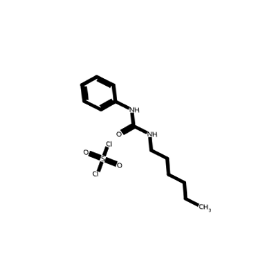 CCCCCCNC(=O)Nc1ccccc1.O=S(=O)(Cl)Cl